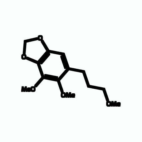 COCCCc1cc2c(c(OC)c1OC)OCO2